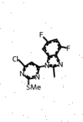 CSc1nc(Cl)cc(-n2c(C)nc3c(F)cc(F)cc32)n1